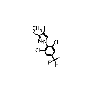 CSc1nn(-c2c(Cl)cc(C(F)(F)F)cc2Cl)[c]c1I